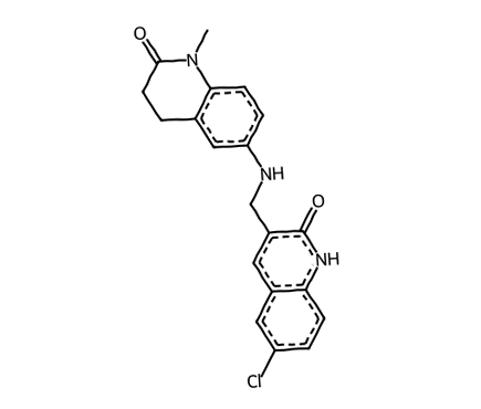 CN1C(=O)CCc2cc(NCc3cc4cc(Cl)ccc4[nH]c3=O)ccc21